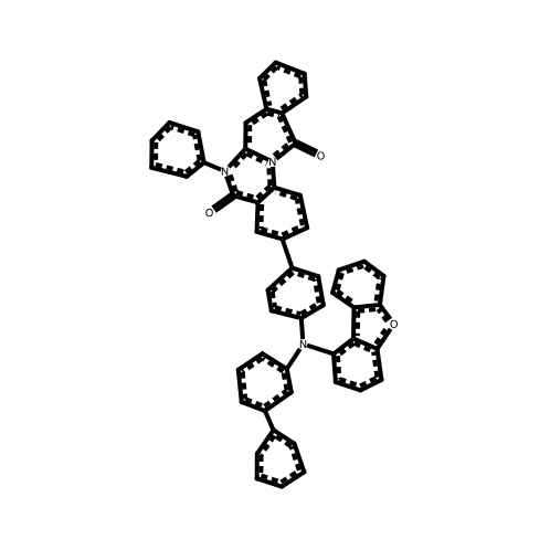 O=c1c2cc(-c3ccc(N(c4cccc(-c5ccccc5)c4)c4cccc5oc6ccccc6c45)cc3)ccc2n2c(=O)c3ccccc3cc2n1-c1ccccc1